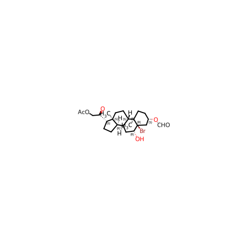 CC(=O)OCC(=O)[C@H]1CC[C@@H]2[C@@H]3C[C@@H](O)[C@@]4(Br)C[C@@H](OC=O)CC[C@]4(C)[C@H]3CC[C@]12C